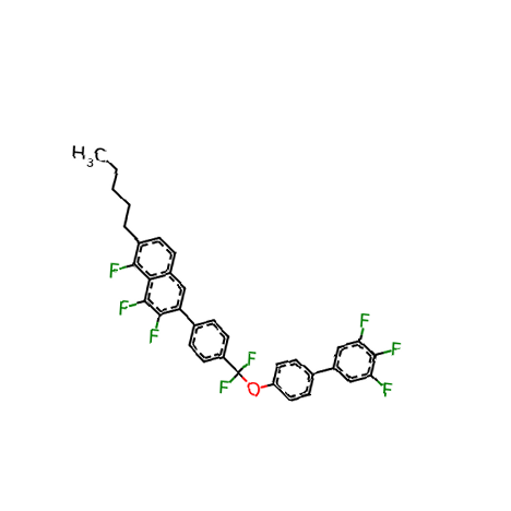 CCCCCc1ccc2cc(-c3ccc(C(F)(F)Oc4ccc(-c5cc(F)c(F)c(F)c5)cc4)cc3)c(F)c(F)c2c1F